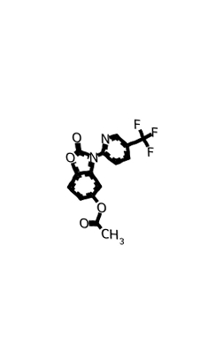 CC(=O)Oc1ccc2oc(=O)n(-c3ccc(C(F)(F)F)cn3)c2c1